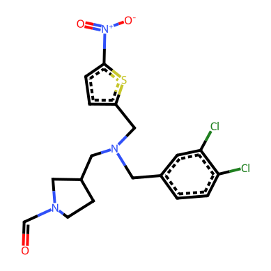 O=CN1CCC(CN(Cc2ccc(Cl)c(Cl)c2)Cc2ccc([N+](=O)[O-])s2)C1